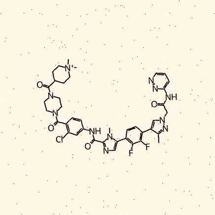 Cc1nn(CC(=O)Nc2cccnn2)cc1-c1ccc(-c2cnc(C(=O)Nc3ccc(C(=O)N4CCN(C(=O)C5CC[N+](C)(C)CC5)CC4)c(Cl)c3)n2C)c(F)c1F